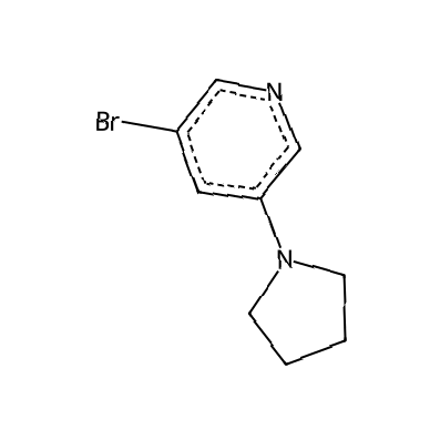 Brc1cncc(N2CCCC2)c1